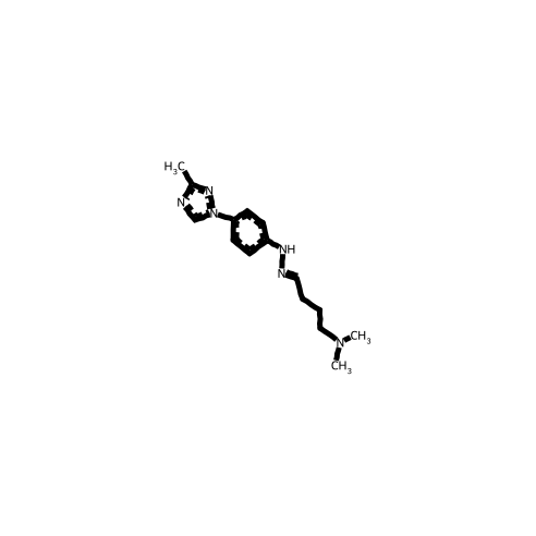 Cc1ncn(-c2ccc(NN=CCCCN(C)C)cc2)n1